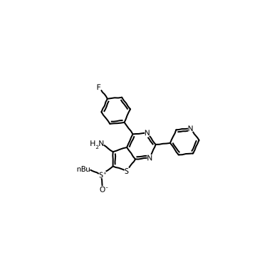 CCCC[S+]([O-])c1sc2nc(-c3cccnc3)nc(-c3ccc(F)cc3)c2c1N